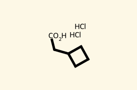 Cl.Cl.O=C(O)CC1CCC1